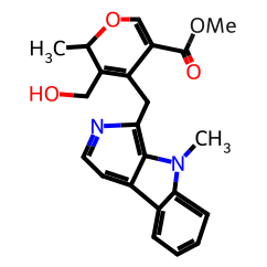 COC(=O)C1=COC(C)C(CO)=C1Cc1nccc2c3ccccc3n(C)c12